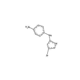 Nc1ccc(Nc2ncc(Br)s2)cc1